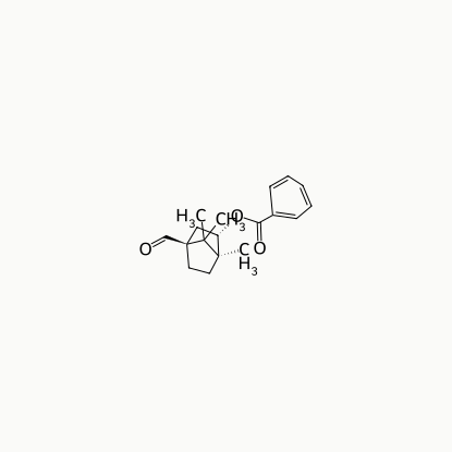 CC1(C)[C@]2(C=O)CC[C@]1(C)[C@@H](OC(=O)c1ccccc1)C2